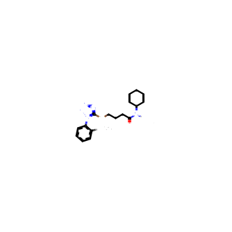 COc1ccccc1-n1nnnc1SCCCC(=O)N(C)C1CCCCC1